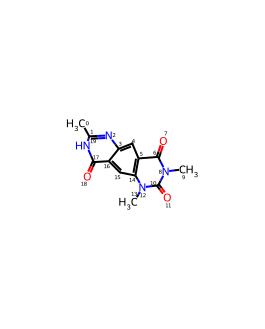 Cc1nc2cc3c(=O)n(C)c(=O)n(C)c3cc2c(=O)[nH]1